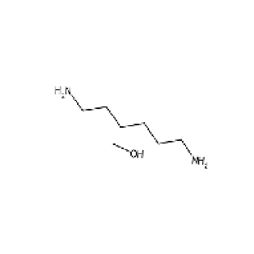 CO.NCCCCCCN